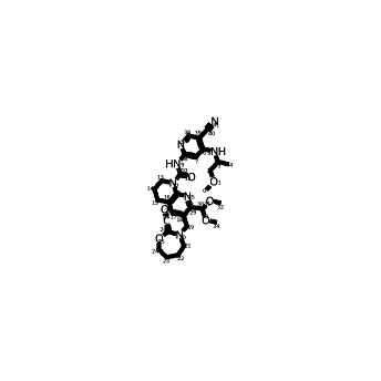 COCC(C)Nc1cc(NC(=O)N2CCCc3cc(CN4CCCCOC4=C=O)c(C(OC)OC)nc32)ncc1C#N